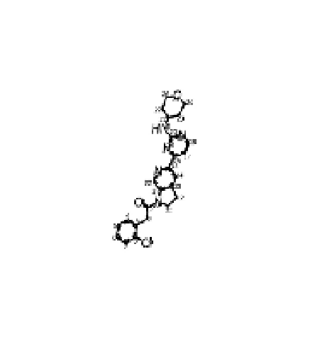 O=C(Cc1ccccc1Cl)N1CCc2cc(-c3ccnc(NC4CCOCC4)n3)ncc21